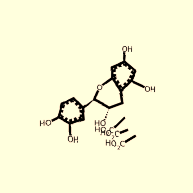 CC(=O)O.CC(=O)O.CC(=O)O.Oc1cc(O)c2c(c1)O[C@H](c1ccc(O)c(O)c1)[C@@H](O)C2